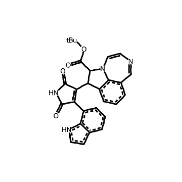 CC(C)(C)OC(=O)C1C(C2=C(c3cccc4cc[nH]c34)C(=O)NC2=O)c2cccc3c2N1C=CN=C3